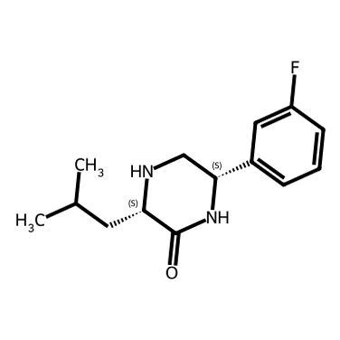 CC(C)C[C@@H]1NC[C@H](c2cccc(F)c2)NC1=O